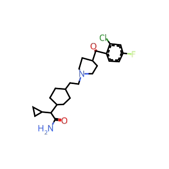 NC(=O)C(C1CCC(CCN2CCC(C(=O)c3ccc(F)cc3Cl)CC2)CC1)C1CC1